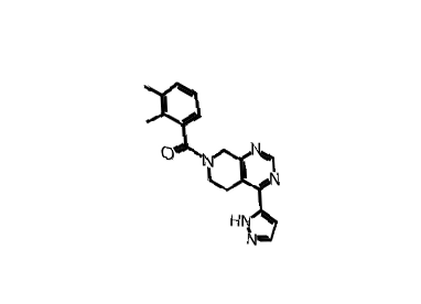 Cc1cccc(C(=O)N2CCc3c(ncnc3-c3ccn[nH]3)C2)c1C